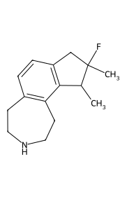 CC1c2c(ccc3c2CCNCC3)CC1(C)F